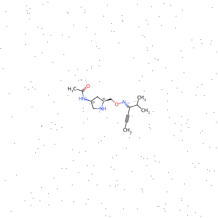 CC#C/C(=N\OC[C@@H]1C[C@H](NC(C)=O)CN1)C(C)C